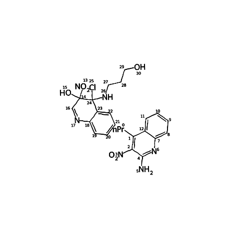 CCCc1c([N+](=O)[O-])c(N)nc2ccccc12.O=[N+]([O-])C1(O)C=Nc2ccccc2C1(Cl)NCCCO